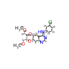 COCC1Oc2cc3ncnc(Nc4cccc(Cl)c4)c3cc2OC1COC